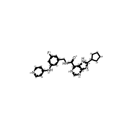 O=C(NCc1cc(F)cc(Nc2ccncc2)c1)c1ncnc2nc(C3CCCC3)[nH]c12